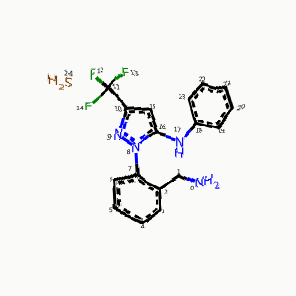 NCc1ccccc1-n1nc(C(F)(F)F)cc1Nc1ccccc1.S